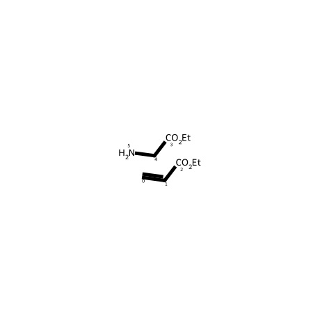 C=CC(=O)OCC.CCOC(=O)CN